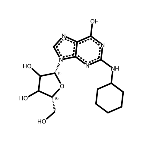 OC[C@H]1O[C@@H](n2cnc3c(O)nc(NC4CCCCC4)nc32)C(O)C1O